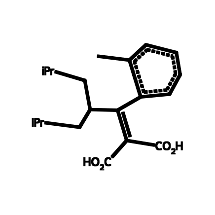 Cc1ccccc1C(=C(C(=O)O)C(=O)O)C(CC(C)C)CC(C)C